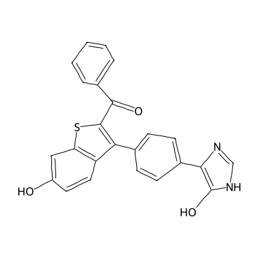 O=C(c1ccccc1)c1sc2cc(O)ccc2c1-c1ccc(-c2nc[nH]c2O)cc1